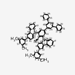 Cc1cc(C)cc(-c2ccc3c(c2)c2ccccc2n3-c2cc(-c3cc(-c4ccccc4)nc(-c4ccccc4)c3)cc(-n3c4ccccc4c4cc(-c5cc(C)cc(C)c5)ccc43)c2C#N)c1